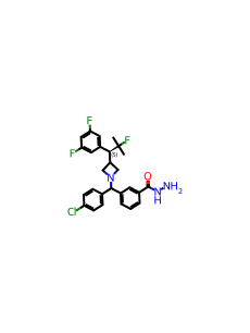 CC(C)(F)[C@H](c1cc(F)cc(F)c1)C1CN(C(c2ccc(Cl)cc2)c2cccc(C(=O)NN)c2)C1